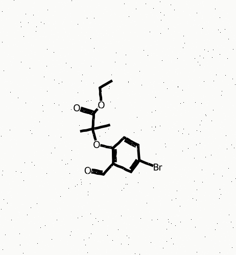 CCOC(=O)C(C)(C)Oc1ccc(Br)cc1C=O